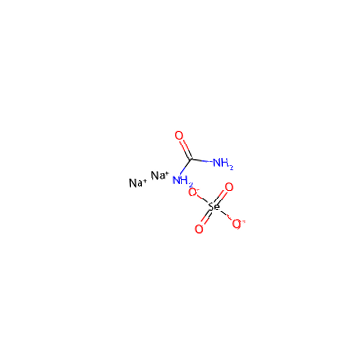 NC(N)=O.O=[Se](=O)([O-])[O-].[Na+].[Na+]